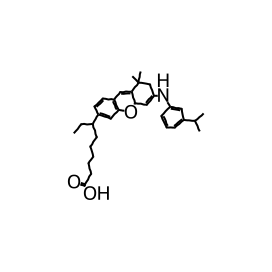 CCC(CCCCCC(=O)O)c1ccc2c(c1)OC1C=C(Nc3cccc(C(C)C)c3)CC(C)(C)C1=C2